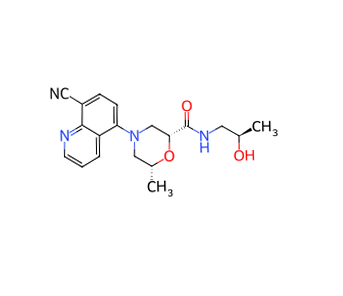 C[C@@H]1CN(c2ccc(C#N)c3ncccc23)C[C@H](C(=O)NC[C@@H](C)O)O1